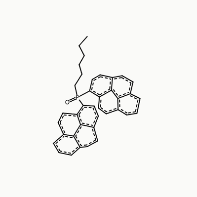 CCCCCCP(=O)(c1ccc2ccc3cccc4ccc1c2c34)c1ccc2ccc3cccc4ccc1c2c34